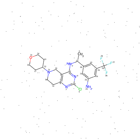 CC(Nc1nc(Cl)nc2c1CN(C1CCOCC1)CC2)c1cc(N)cc(C(F)(F)F)c1